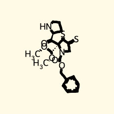 COC(OC)[C@]1(C(=O)[C@@H]2CCCN2)C(=S)C(=S)CN1C(=O)OCc1ccccc1